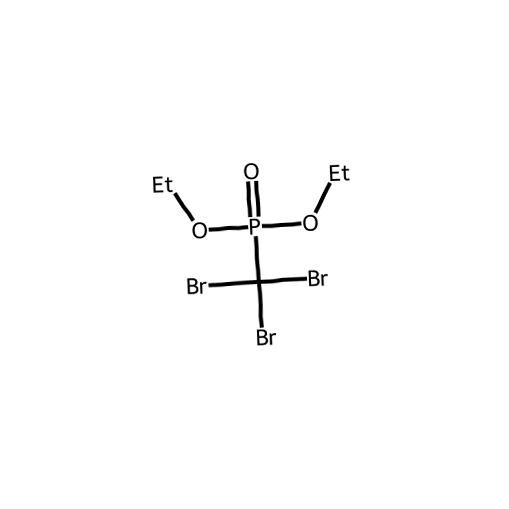 CCOP(=O)(OCC)C(Br)(Br)Br